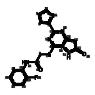 O=C(CSc1nc(-c2cccs2)nc2cc(=O)[nH]n12)Nc1ccccc1F